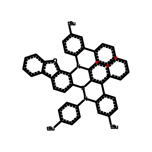 CC(C)(C)c1ccc(N2B3c4ccc5c(oc6ccccc65)c4N(c4ccc(C(C)(C)C)cc4-c4ccccc4)c4cc5ccccc5c(c43)-c3ccc(C(C)(C)C)cc32)cc1